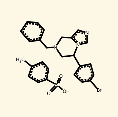 Brc1ccc(C2CN(Cc3ccccc3)Cc3cncn32)cc1.Cc1ccc(S(=O)(=O)O)cc1